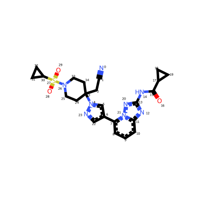 N#CCC1(n2cc(-c3cccc4nc(NC(=O)C5CC5)nn34)cn2)CCN(S(=O)(=O)C2CC2)CC1